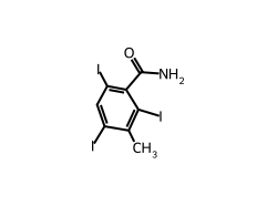 Cc1c(I)cc(I)c(C(N)=O)c1I